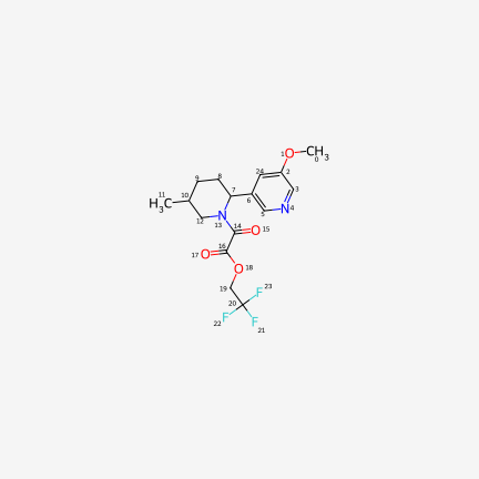 COc1cncc(C2CCC(C)CN2C(=O)C(=O)OCC(F)(F)F)c1